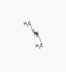 CCCCCCCCCCc1cn2cc(-c3ccc(CCCCCCC)cc3)nc2s1